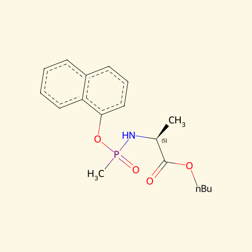 CCCCOC(=O)[C@H](C)NP(C)(=O)Oc1cccc2ccccc12